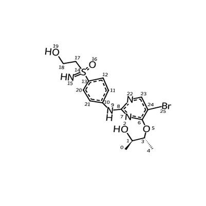 C[C@@H](O)[C@@H](C)Oc1nc(Nc2ccc(S(=N)(=O)CCO)cc2)ncc1Br